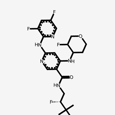 CC(C)(O)[C@H](F)CNC(=O)c1cnc(Nc2ncc(F)cc2F)cc1NC1CCOCC1F